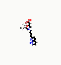 CO[C@H](C)CN(CCCCc1ccc2c(n1)NCCC2)CCCC(=O)O